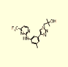 Cc1cc(Nc2nccc(C(F)(F)F)n2)cc(-c2cn(CC(C)(C)O)nn2)c1